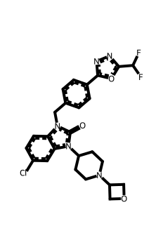 O=c1n(Cc2ccc(-c3nnc(C(F)F)o3)cc2)c2ccc(Cl)cc2n1C1CCN(C2COC2)CC1